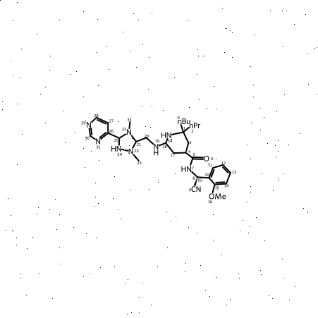 CCCCC1(CCC)CC(C(=O)N[C@H](C#N)c2ccccc2OC)CC(NCC2N(C)NC(c3ccncn3)N2C)N1